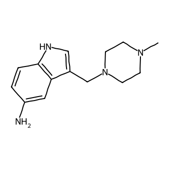 CN1CCN(Cc2c[nH]c3ccc(N)cc23)CC1